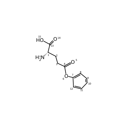 N[C@@H](CCC(=O)Oc1ccccc1)C(=O)O